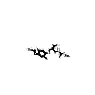 CCCCc1nc2cc(C)c(OC/C(=C/F)CNC(=O)OC(C)(C)C)cc2o1